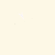 Cc1ccc(C(C)(C)N2CC2)cc1